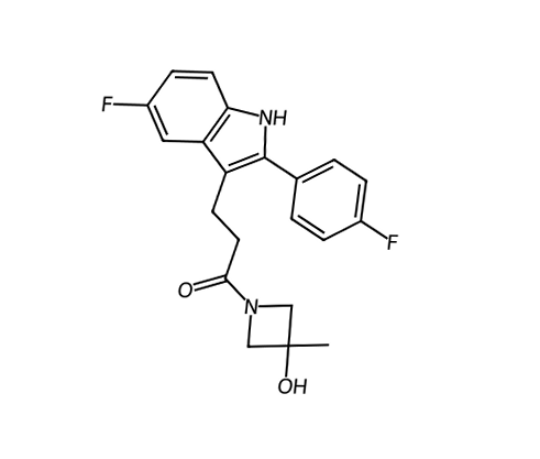 CC1(O)CN(C(=O)CCc2c(-c3ccc(F)cc3)[nH]c3ccc(F)cc23)C1